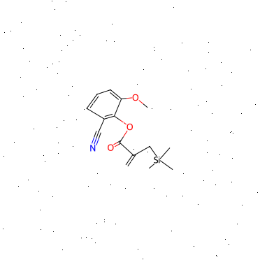 C=C(C[Si](C)(C)C)C(=O)Oc1c(C#N)cccc1OC